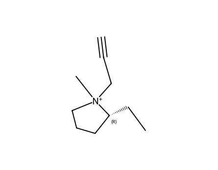 C#CC[N+]1(C)CCC[C@H]1CC